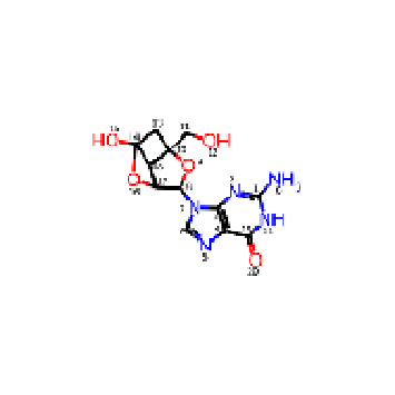 Nc1nc2c(ncn2C2O[C@@]3(CO)CC4(O)OC2C43)c(=O)[nH]1